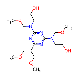 COCC(COC)c1nc(N(CCO)COC)nc(N(CCO)COC)n1